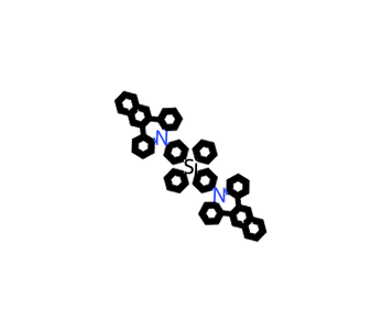 c1ccc([Si](c2ccccc2)(c2ccc(N3c4ccccc4-c4cc5ccccc5cc4-c4ccccc43)cc2)c2ccc(N3c4ccccc4-c4cc5ccccc5cc4-c4ccccc43)cc2)cc1